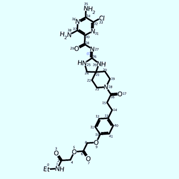 CCNC(=O)COC(=O)COc1ccc(CCC(=O)N2CCC3(CC2)CN/C(=N\C(=O)c2nc(Cl)c(N)nc2N)N3)cc1